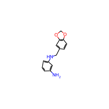 Nc1cccc(NCc2ccc3c(c2)OCO3)c1